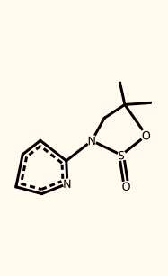 CC1(C)CN(c2ccccn2)S(=O)O1